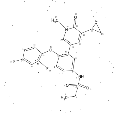 CCS(=O)(=O)Nc1ccc(Oc2ccc(F)cc2F)c(-c2cc(C3CC3)c(=O)n(C)c2)c1